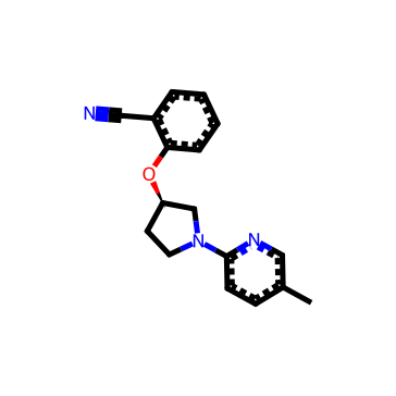 Cc1ccc(N2CC[C@@H](Oc3ccccc3C#N)C2)nc1